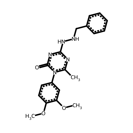 COc1ccc(-n2c(C)nc(NNCc3ccccc3)nc2=O)cc1OC